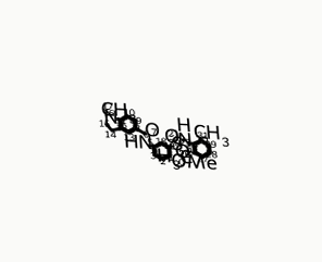 COc1ccc(NC(=O)c2ccc3c(c2)CCN3C)cc1S(=O)(=O)Nc1c(C)cccc1C